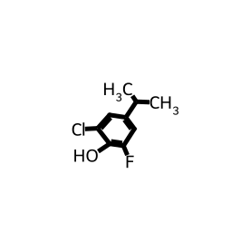 CC(C)c1cc(F)c(O)c(Cl)c1